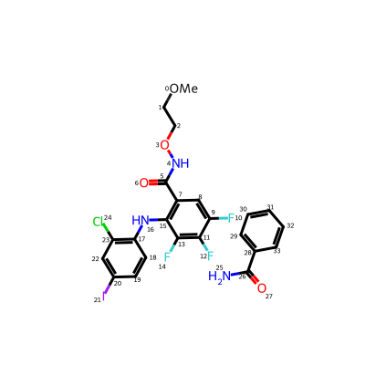 COCCONC(=O)c1cc(F)c(F)c(F)c1Nc1ccc(I)cc1Cl.NC(=O)c1ccccc1